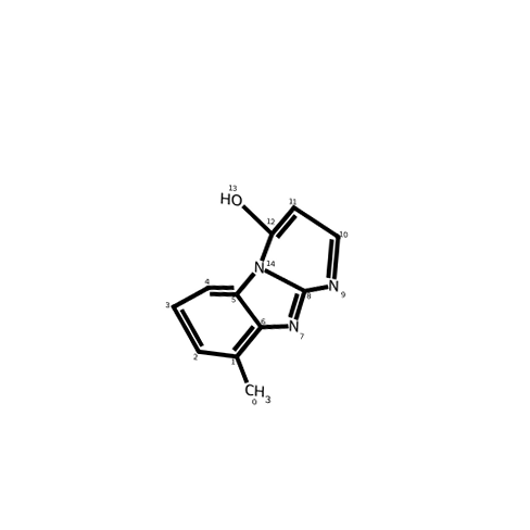 Cc1cccc2c1nc1nccc(O)n12